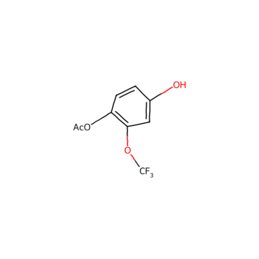 CC(=O)Oc1ccc(O)cc1OC(F)(F)F